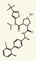 CC(C)[C@@H](C(=O)N1C[C@H](O)C[C@H]1C(=O)N[C@@H](C)c1ccc(-c2c(F)cccc2F)cc1)c1cc(C(C)(C)C)no1